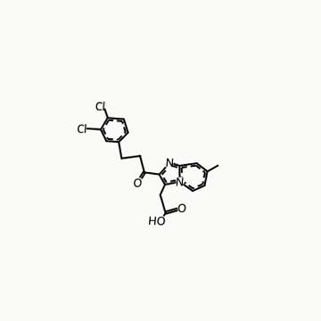 Cc1ccn2c(CC(=O)O)c(C(=O)CCc3ccc(Cl)c(Cl)c3)nc2c1